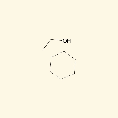 C1CCCCC1.CCO